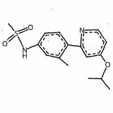 Cc1cc(NS(C)(=O)=O)ccc1-c1cc(OC(C)C)ccn1